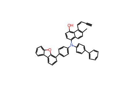 C#C/C=C\c1c(C)ccc2c(N(c3ccc(-c4ccccc4)cc3)c3ccc(-c4cccc5c4oc4ccccc45)cc3)ccc(O)c12